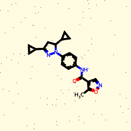 Cc1oncc1C(=O)Nc1ccc(N2N=C(C3CC3)CC2C2CC2)cc1